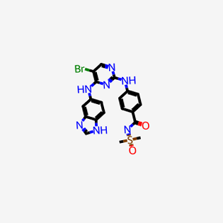 CS(C)(=O)=NC(=O)c1ccc(Nc2ncc(Br)c(Nc3ccc4[nH]cnc4c3)n2)cc1